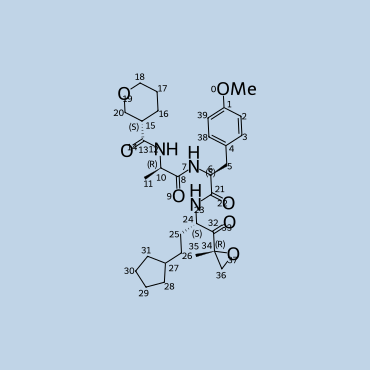 COc1ccc(C[C@H](NC(=O)[C@@H](C)NC(=O)[C@H]2CCCOC2)C(=O)N[C@@H](CCC2CCCC2)C(=O)[C@@]2(C)CO2)cc1